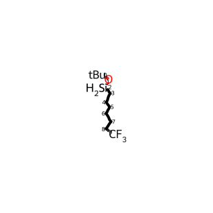 CC(C)(C)O[SiH2]CCCCCCC(F)(F)F